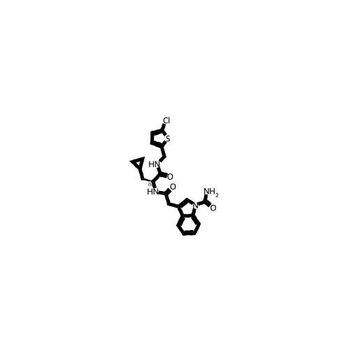 NC(=O)n1cc(CC(=O)N[C@@H](CC2CC2)C(=O)NCc2ccc(Cl)s2)c2ccccc21